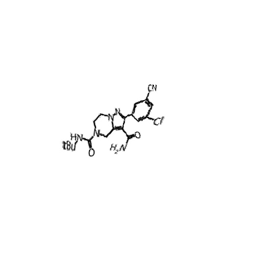 CC(C)(C)NC(=O)N1CCn2nc(-c3cc(Cl)cc(C#N)c3)c(C(N)=O)c2C1